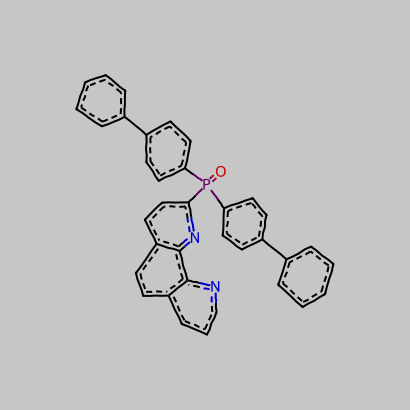 O=P(c1ccc(-c2ccccc2)cc1)(c1ccc(-c2ccccc2)cc1)c1ccc2ccc3cccnc3c2n1